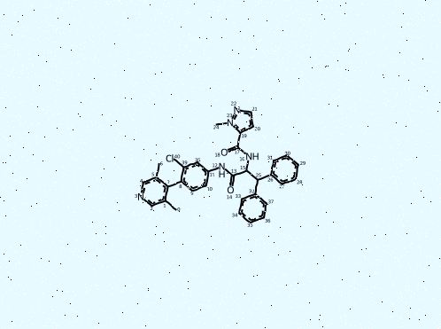 Cc1cncc(C)c1-c1ccc(NC(=O)C(NC(=O)c2ccnn2C)C(c2ccccc2)c2ccccc2)cc1Cl